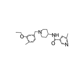 CCOc1cc(CN2CCC(NC(=O)c3cncc(C)c3)CC2)ccc1C